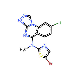 CN(c1ncc(Br)s1)c1nc2nncn2c2cc(Cl)ccc12